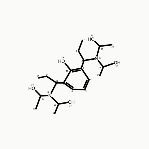 CCC(c1cccc(C(CC)N(C(C)O)C(C)O)c1O)N(C(C)O)C(C)O